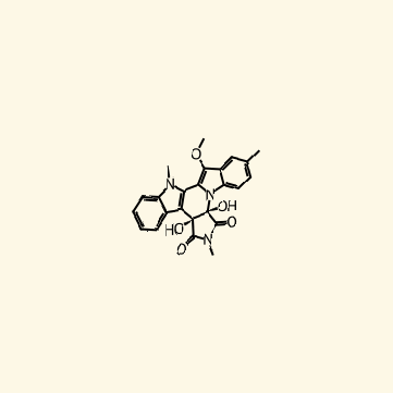 COc1c2n(c3ccc(C)cc13)[C@]1(O)C(=O)N(C)C(=O)[C@]1(O)c1c-2n(C)c2ccccc12